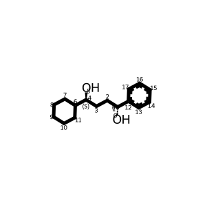 O[C@H](CC[C@H](O)C1CCCCC1)c1ccccc1